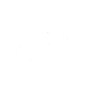 CC(C)Nc1cc(C(N)=O)ccc1-n1nc(C(C)C)c2c(-n3cnc(-c4cnn(C)c4)c3)cccc21